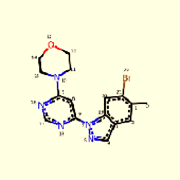 Cc1cc2cnn(-c3cc(N4CCOCC4)ncn3)c2cc1Br